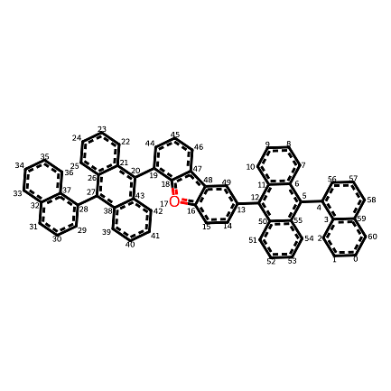 c1ccc2c(-c3c4ccccc4c(-c4ccc5oc6c(-c7c8ccccc8c(-c8cccc9ccccc89)c8ccccc78)cccc6c5c4)c4ccccc34)cccc2c1